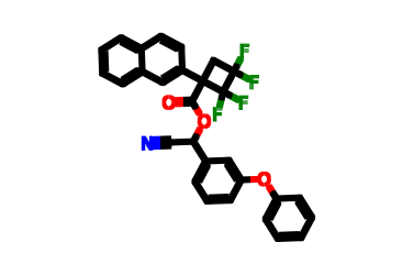 N#CC(OC(=O)C1(c2ccc3ccccc3c2)CC(F)(F)C1(F)F)c1cccc(Oc2ccccc2)c1